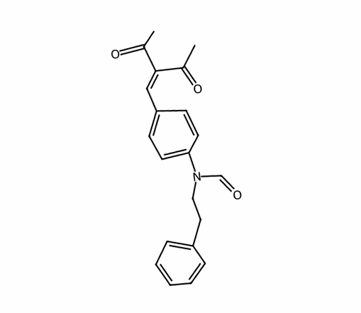 CC(=O)C(=Cc1ccc(N(C=O)CCc2ccccc2)cc1)C(C)=O